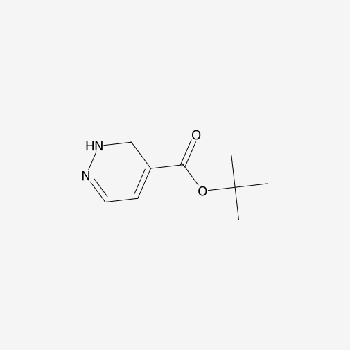 CC(C)(C)OC(=O)C1=CC=NNC1